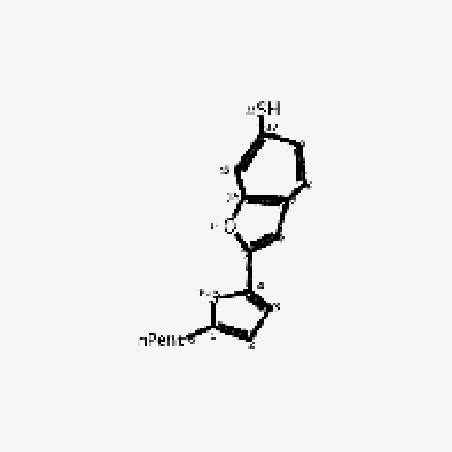 CCCCCc1ccc(-c2cc3ccc(S)cc3o2)s1